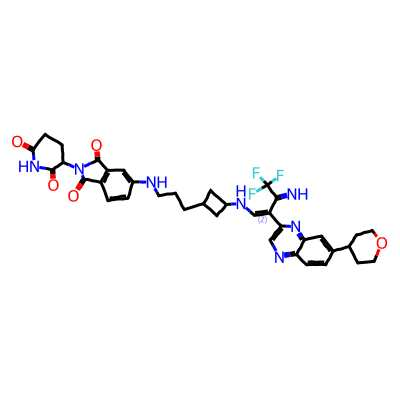 N=C(/C(=C\NC1CC(CCCNc2ccc3c(c2)C(=O)N(C2CCC(=O)NC2=O)C3=O)C1)c1cnc2ccc(C3CCOCC3)cc2n1)C(F)(F)F